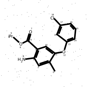 Cc1cc(N)c(C(=O)OC(C)C)cc1Oc1cccc(Cl)c1